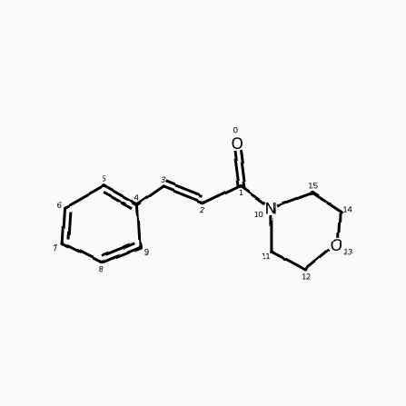 O=C(/C=C/c1ccccc1)N1CCOCC1